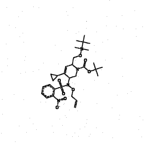 C=CCON(C1CN(C(=O)OC(C)(C)C)C(CO[Si](C)(C)C(C)(C)C)C=C1C1CC1)S(=O)(=O)c1ccccc1[N+](=O)[O-]